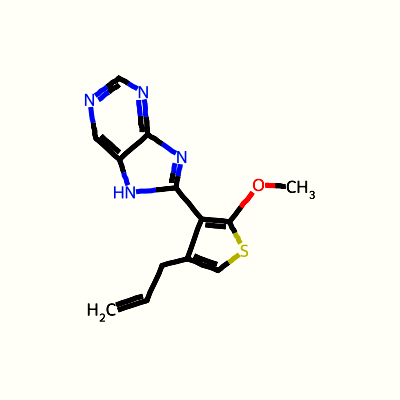 C=CCc1csc(OC)c1-c1nc2ncncc2[nH]1